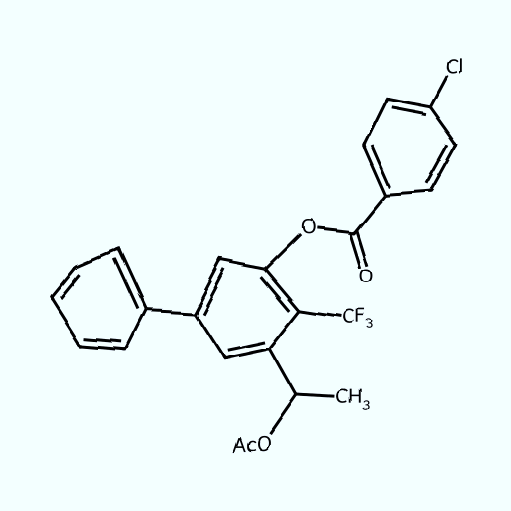 CC(=O)OC(C)c1cc(-c2ccccc2)cc(OC(=O)c2ccc(Cl)cc2)c1C(F)(F)F